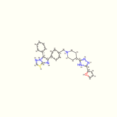 c1ccc(-c2c(-c3ccc(CN4CCC(c5nnc(-c6ccco6)[nH]5)CC4)cc3)nc3scnn23)cc1